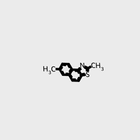 Cc1ccc2c(ccc3sc(C)nc32)c1